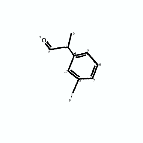 CC([C]=O)c1cccc(I)c1